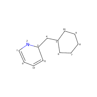 C1=C[N]C(CC2CCCCC2)C=C1